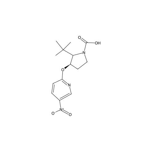 CC(C)(C)C1[C@H](Oc2ccc([N+](=O)[O-])cn2)CCN1C(=O)O